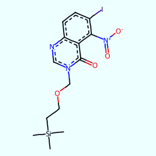 C[Si](C)(C)CCOCn1cnc2ccc(I)c([N+](=O)[O-])c2c1=O